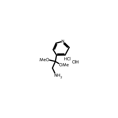 COC(CN)(OC)c1ccncc1.Cl.Cl